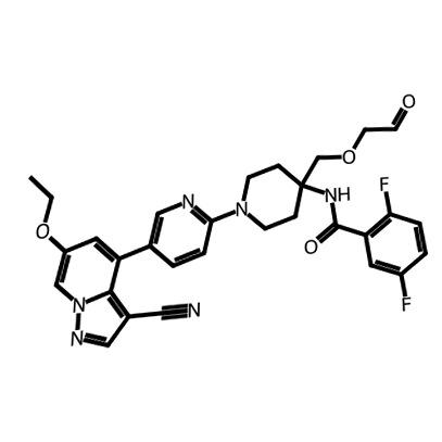 CCOc1cc(-c2ccc(N3CCC(COCC=O)(NC(=O)c4cc(F)ccc4F)CC3)nc2)c2c(C#N)cnn2c1